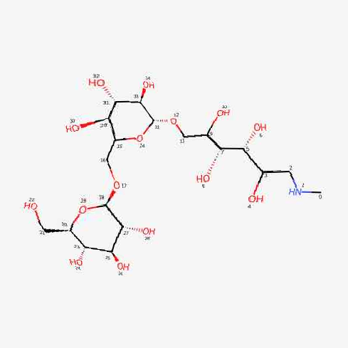 CNCC(O)[C@@H](O)[C@H](O)C(O)CO[C@@H]1OC(CO[C@@H]2O[C@H](CO)[C@@H](O)[C@H](O)[C@H]2O)[C@@H](O)[C@H](O)[C@H]1O